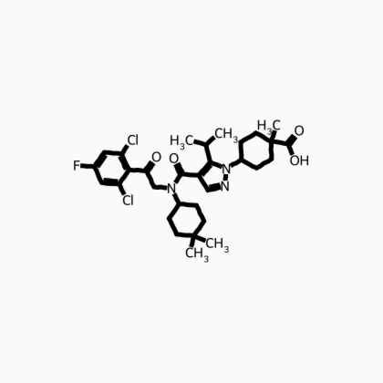 CC(C)c1c(C(=O)N(CC(=O)c2c(Cl)cc(F)cc2Cl)C2CCC(C)(C)CC2)cnn1C1CCC(C)(C(=O)O)CC1